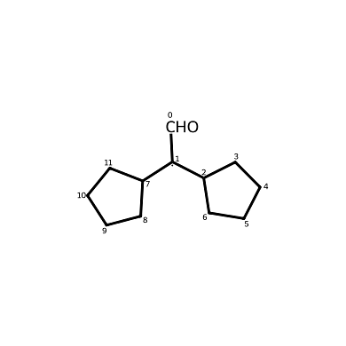 O=C[C](C1CCCC1)C1CCCC1